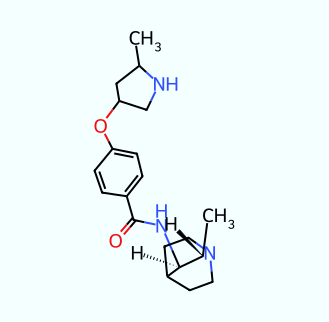 CC1CC(Oc2ccc(C(=O)N[C@@H]3C4CCN(CC4)[C@H]3C)cc2)CN1